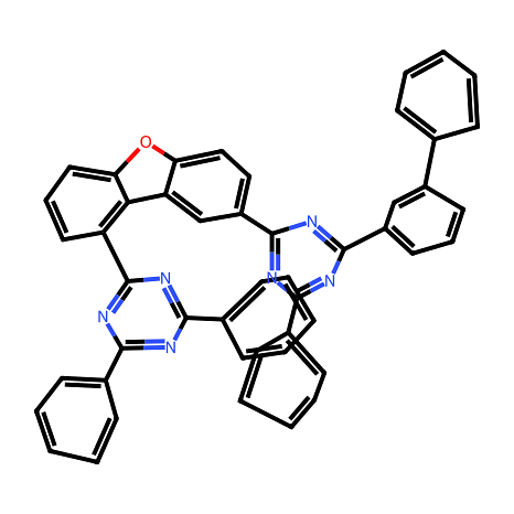 c1ccc(-c2cccc(-c3nc(-c4ccccc4)nc(-c4ccc5oc6cccc(-c7nc(-c8ccccc8)nc(-c8ccccc8)n7)c6c5c4)n3)c2)cc1